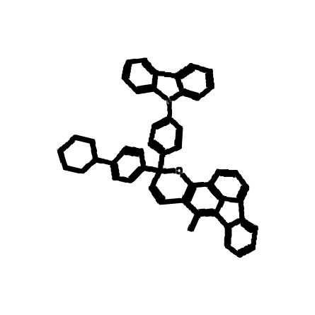 Cc1c2c(c3cccc4c3c1-c1ccccc1-4)OC(c1ccc(C3CCCCC3)cc1)(c1ccc(-n3c4ccccc4c4ccccc43)cc1)C=C2